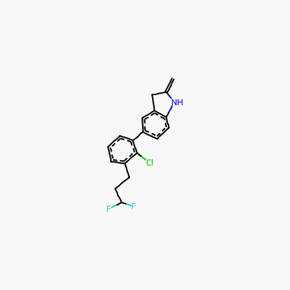 C=C1Cc2cc(-c3cccc(CCC(F)F)c3Cl)ccc2N1